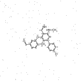 CNc1nc(-c2ccc(Cl)cc2)nc(Oc2cc(C=O)ccc2C)c1C=N